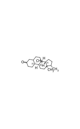 CC1CC[C@H]2[C@@H]3CCC4CC(=O)CC[C@]4(C)[C@@H]3CC[C@]12C